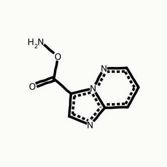 NOC(=O)c1cnc2cccnn12